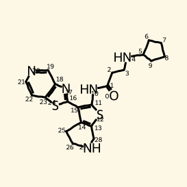 O=C(CCNC1CCCC1)Nc1sc2c(c1-c1nc3cnccc3s1)CCNC2